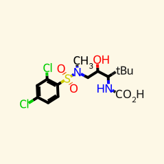 CN(CC(O)C(NC(=O)O)C(C)(C)C)S(=O)(=O)c1ccc(Cl)cc1Cl